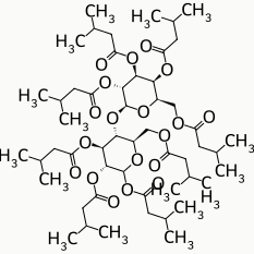 CC(C)CC(=O)OC[C@H]1O[C@@H](O[C@H]2[C@H](OC(=O)CC(C)C)[C@@H](OC(=O)CC(C)C)C(OC(=O)CC(C)C)O[C@@H]2COC(=O)CC(C)C)[C@H](OC(=O)CC(C)C)[C@@H](OC(=O)CC(C)C)[C@H]1OC(=O)CC(C)C